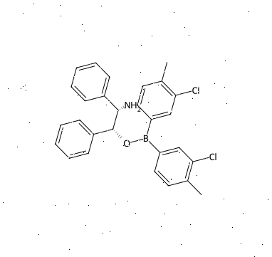 Cc1ccc(B(O[C@H](c2ccccc2)[C@@H](N)c2ccccc2)c2ccc(C)c(Cl)c2)cc1Cl